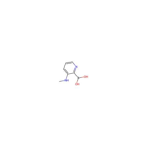 CNc1cccnc1B(O)O